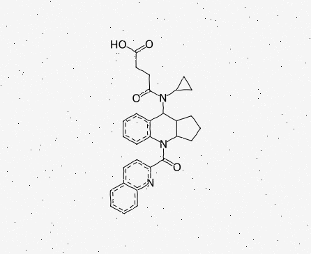 O=C(O)CCC(=O)N(C1CC1)C1c2ccccc2N(C(=O)c2ccc3ccccc3n2)C2CCCC21